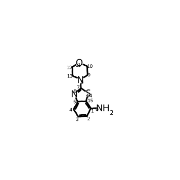 Nc1cccc2nc(N3CCOCC3)sc12